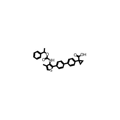 Cc1csc(-c2ccc(-c3ccc(C4(C(=O)O)CC4)cc3)cc2)c1NC(=O)OC(C)c1ccccc1